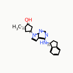 C[C@H]1C[C@@H](n2ccc3c(N[C@H]4CCc5ccccc54)ncnc32)C[C@H]1O